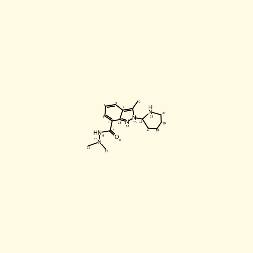 Cc1c2cccc(C(=O)NN(C)C)c2nn1C1CCCCN1